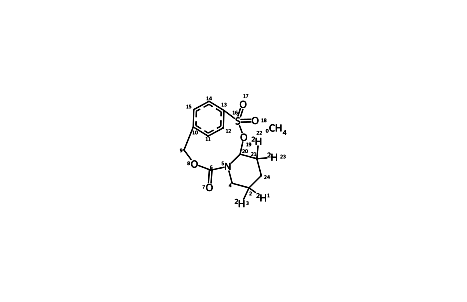 C.[2H]C1([2H])CN2C(=O)OCc3ccc(cc3)S(=O)(=O)OC2C([2H])([2H])C1